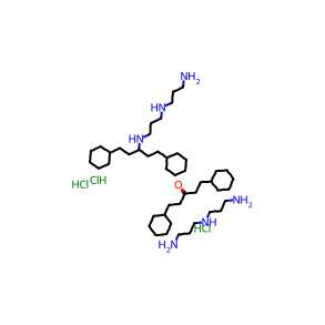 Cl.Cl.Cl.NCCCNCCCN.NCCCNCCCNC(CCC1CCCCC1)CCC1CCCCC1.O=C(CCC1CCCCC1)CCC1CCCCC1